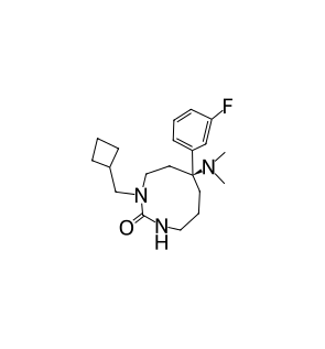 CN(C)[C@@]1(c2cccc(F)c2)CCCNC(=O)N(CC2CCC2)CC1